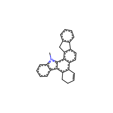 Cn1c2ccccc2c2c3c(c4ccc5c(c4c21)Cc1ccccc1-5)C=CCC3